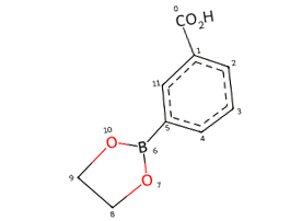 O=C(O)c1cccc(B2OCCO2)c1